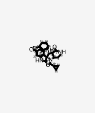 O=C1NCCC2[C@@H]1[C@H](c1cccc(Cl)c1F)[C@]1(C(=O)Nc3cc(Cl)ccc31)N2CC1CC1